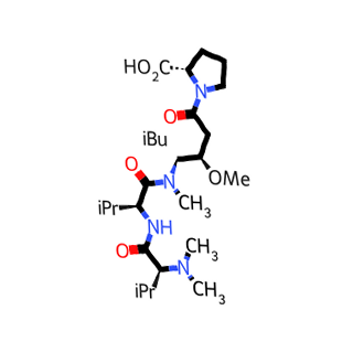 CC[C@H](C)[C@@H]([C@@H](CC(=O)N1CCC[C@H]1C(=O)O)OC)N(C)C(=O)[C@@H](NC(=O)[C@H](C(C)C)N(C)C)C(C)C